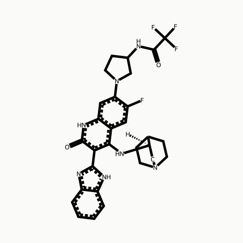 O=C(NC1CCN(c2cc3[nH]c(=O)c(-c4nc5ccccc5[nH]4)c(N[C@@H]4CN5CCC4CC5)c3cc2F)C1)C(F)(F)F